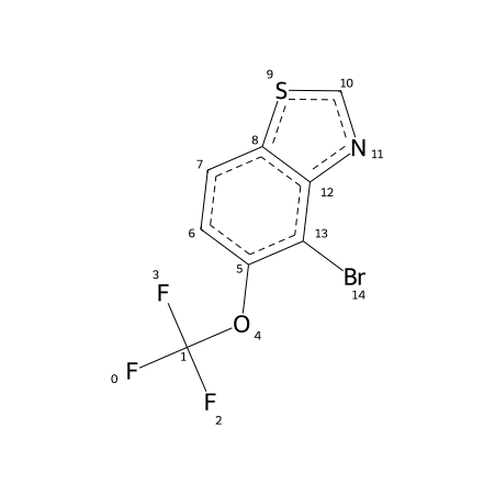 FC(F)(F)Oc1ccc2scnc2c1Br